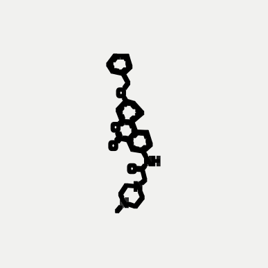 CN1CCN(CC(=O)Nc2ccc3c(c2)c(=O)oc2cc(OCc4ccccc4)ccc23)CC1